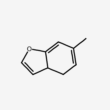 CC1=CCC2C=COC2=C1